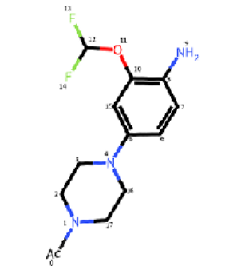 CC(=O)N1CCN(c2ccc(N)c(OC(F)F)c2)CC1